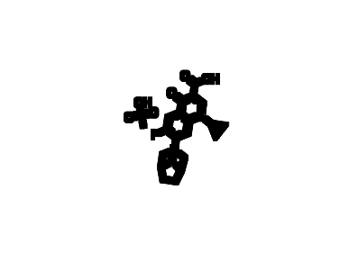 CN1C2CCC1CN(c1cc3c(cc1F)c(=O)c(C(=O)O)cn3C1CC1)C2.CS(=O)(=O)O